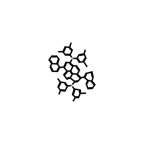 Cc1cc(C)cc(N(c2cc(C)cc(C)c2)c2cc(-c3cccc4ccccc34)c3ccc4c(N(c5cc(C)cc(C)c5)c5cc(C)cc(C)c5)cc(-c5cccc6ccccc56)c5ccc2c3c54)c1